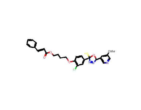 COc1cncc(C2N=NC(S)(c3ccc(OCCCCOC(=O)C=Cc4ccccc4)c(Cl)c3)O2)c1